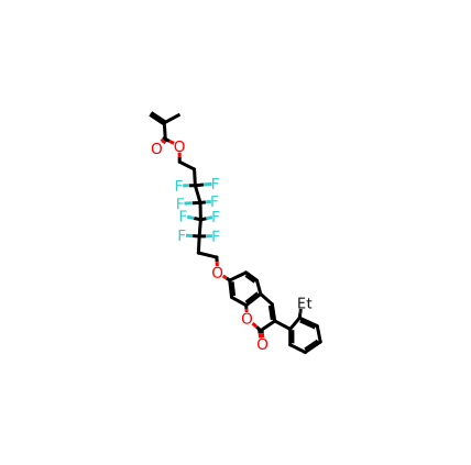 C=C(C)C(=O)OCCC(F)(F)C(F)(F)C(F)(F)C(F)(F)CCOc1ccc2cc(-c3ccccc3CC)c(=O)oc2c1